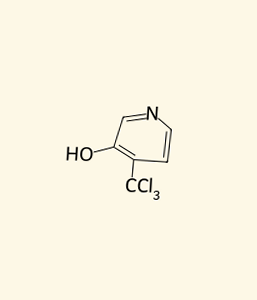 Oc1cnccc1C(Cl)(Cl)Cl